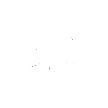 CCC[CH2][Sn][CH2]CCC.COC(=O)C=CC(=O)OC